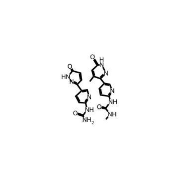 CNC(=O)Nc1ccc(-c2n[nH]c(=O)cc2C)cn1.NC(=O)Nc1ccc(-c2ccc(=O)[nH]n2)cn1